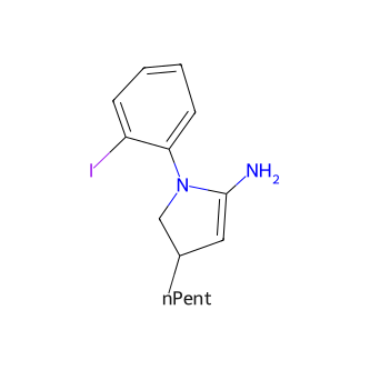 CCCCCC1C=C(N)N(c2ccccc2I)C1